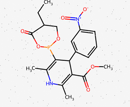 CCC1COP(C2=C(C)NC(C)=C(C(=O)OC)C2c2cccc([N+](=O)[O-])c2)OC1=O